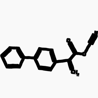 C=C(C(=O)OC#N)c1ccc(-c2ccccc2)cc1